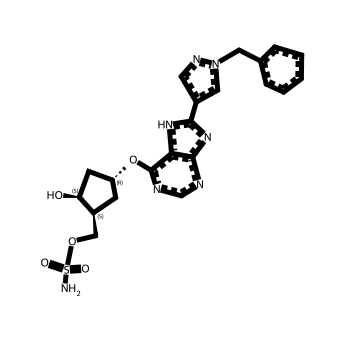 NS(=O)(=O)OC[C@@H]1C[C@@H](Oc2ncnc3nc(-c4cnn(Cc5ccccc5)c4)[nH]c23)C[C@@H]1O